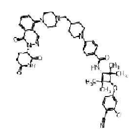 CC1(C)[C@H](NC(=O)c2ccc(N3CCC(CN4CCN(c5cccc6c(=O)n([C@H]7CCC(=O)NC7=O)ncc56)CC4)CC3)cc2)C(C)(C)[C@H]1Oc1ccc(C#N)c(Cl)c1